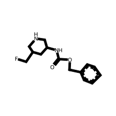 O=C(NC1CNCC(CF)C1)OCc1ccccc1